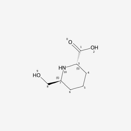 O=C(O)[C@@H]1CCC[C@@H](CO)N1